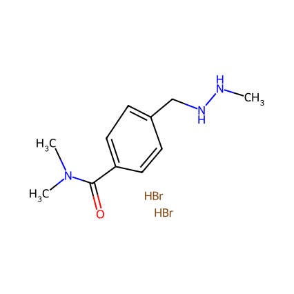 Br.Br.CNNCc1ccc(C(=O)N(C)C)cc1